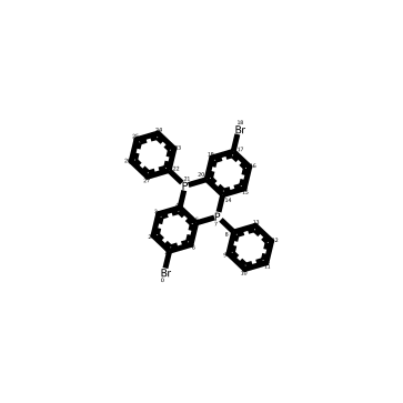 Brc1ccc2c(c1)P(c1ccccc1)c1ccc(Br)cc1P2c1ccccc1